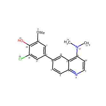 COc1cc(-c2ccc3nc[c]c(N(C)C)c3c2)cc(Cl)c1O